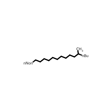 CCCCCCCCCCCCCCCCC[CH]CC(C)CCCC